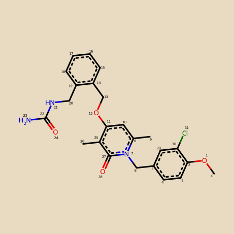 COc1ccc(Cn2c(C)cc(OCc3ccccc3CNC(N)=O)c(C)c2=O)cc1Cl